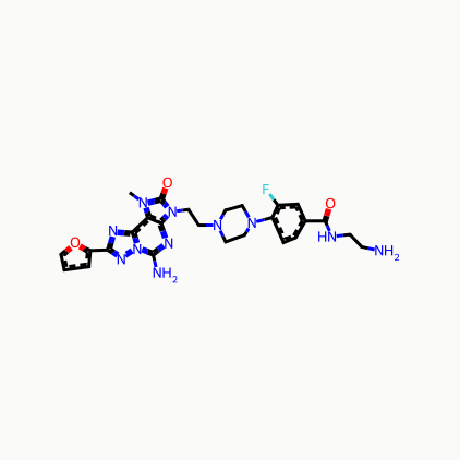 Cn1c(=O)n(CCN2CCN(c3ccc(C(=O)NCCN)cc3F)CC2)c2nc(N)n3nc(-c4ccco4)nc3c21